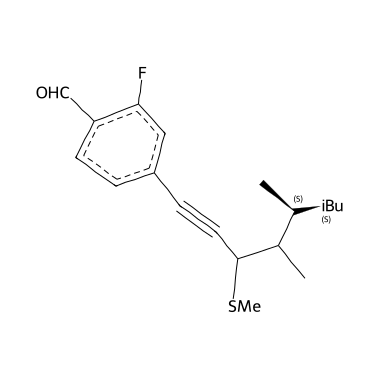 CC[C@H](C)[C@H](C)C(C)C(C#Cc1ccc(C=O)c(F)c1)SC